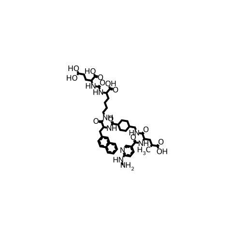 CC(CC(NC(=O)c1ccc(NN)nc1)C(=O)NCC1CCC(C(=O)NC(Cc2ccc3ccccc3c2)C(=O)NCCCCC(NC(=O)NC(CCC(O)O)C(=O)O)C(=O)O)CC1)C(=O)O